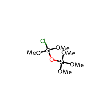 CO[Si](Cl)(OC)O[Si](OC)(OC)OC